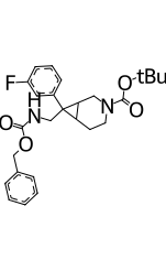 CC(C)(C)OC(=O)N1CCC2C(C1)C2(CNC(=O)OCc1ccccc1)c1cccc(F)c1